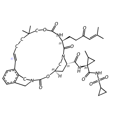 CC(C)=CC(=O)CC[C@@H]1NC(=O)OCC(C)(C)CC/C=C/c2cccc3c2CN(C3)C(=O)O[C@@H]2C[C@@H](C(=O)N[C@]3(C(=O)NS(=O)(=O)C4CC4)CC3C)N(C2)C1=O